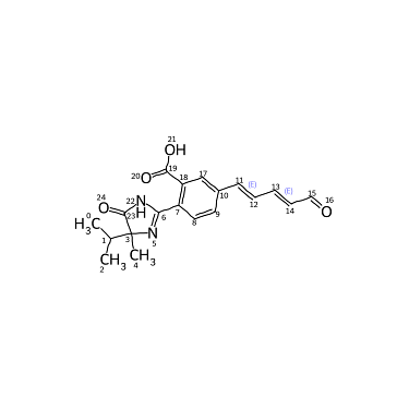 CC(C)C1(C)N=C(c2ccc(/C=C/C=C/C=O)cc2C(=O)O)NC1=O